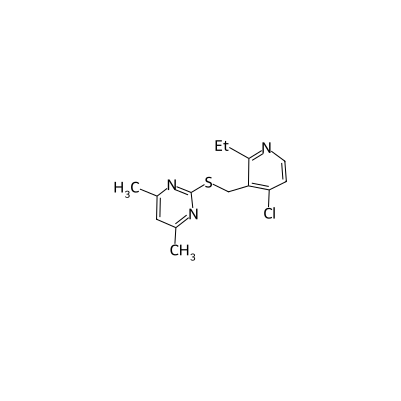 CCc1nccc(Cl)c1CSc1nc(C)cc(C)n1